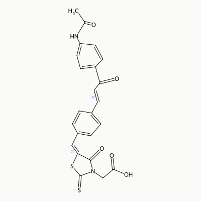 CC(=O)Nc1ccc(C(=O)/C=C/c2ccc(/C=C3/SC(=S)N(CC(=O)O)C3=O)cc2)cc1